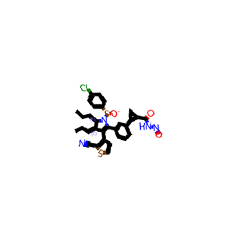 CC/C=c1/c(-c2ccsc2C#N)c(-c2cccc(C3CC3C(=O)NN=O)c2)n([S+]([O-])c2ccc(Cl)cc2)/c1=C/CC